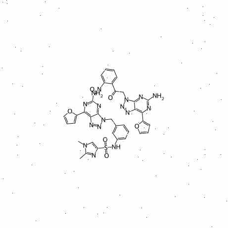 Cc1nc(S(=O)(=O)Nc2cccc(Cn3nnc4c(-c5ccco5)nc(N)nc43)c2)cn1C.Nc1nc(-c2ccco2)c2nnn(CC(=O)c3ccccc3[N+](=O)[O-])c2n1